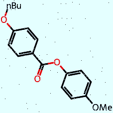 CCCCOc1ccc(C(=O)Oc2ccc(OC)cc2)cc1